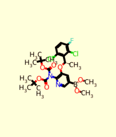 COB(OC)c1cnc(N(C(=O)OC(C)(C)C)C(=O)OC(C)(C)C)c(O[C@@H](C)c2c(Cl)ccc(F)c2Cl)c1